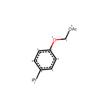 CC(=O)OCOc1ccc(C(C)C)cc1